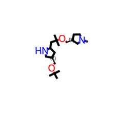 CN1CC[C@H](COC(C)(C)CC2C[C@@H](COC(C)(C)C)CN2)C1